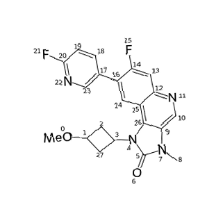 COC1CC(n2c(=O)n(C)c3cnc4cc(F)c(-c5ccc(F)nc5)cc4c32)C1